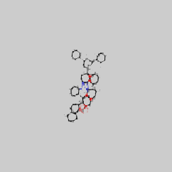 c1ccc(-c2cc(-c3ccccc3)cc(-c3ccc(N(c4ccccc4-c4ccccc4)c4ccccc4-c4cccc5oc6c7ccccc7ccc6c45)cc3)c2)cc1